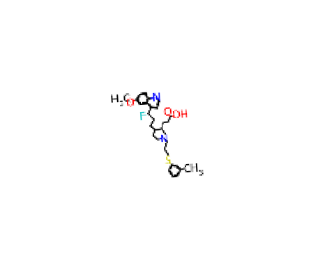 COc1ccc2nccc([C@@H](F)CCC3CCN(CCCSc4cccc(C)c4)CC3CCC(=O)O)c2c1